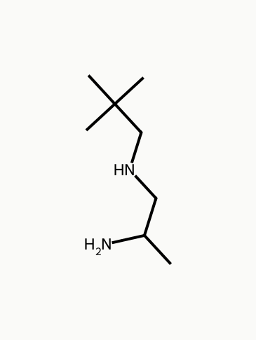 CC(N)CNCC(C)(C)C